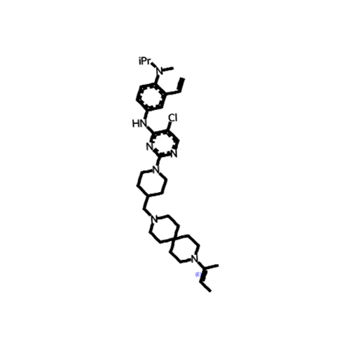 C=Cc1cc(Nc2nc(N3CCC(CN4CCC5(CC4)CCN(/C(C)=C/C)CC5)CC3)ncc2Cl)ccc1N(C)C(C)C